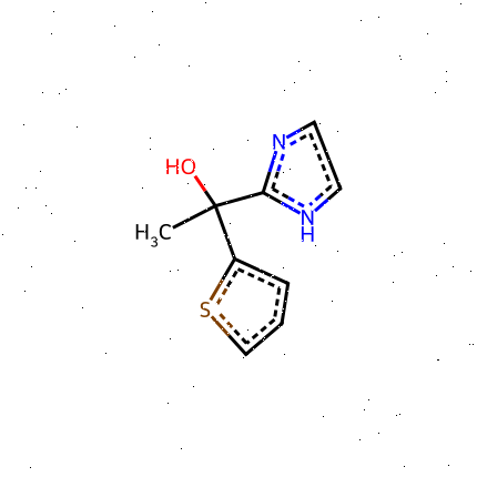 CC(O)(c1ncc[nH]1)c1cccs1